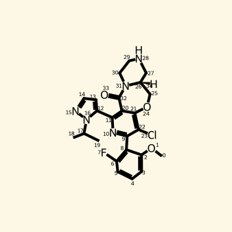 COc1cccc(F)c1-c1nc(-c2ccnn2C(C)C)c2c(c1Cl)OC[C@H]1CNCCN1C2=O